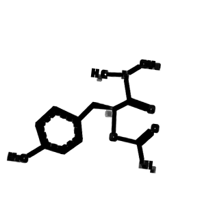 COc1ccc(C[C@H](OC(N)=O)C(=O)N(C)OC)cc1